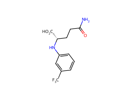 NC(=O)CC[C@H](Nc1cccc(C(F)(F)F)c1)C(=O)O